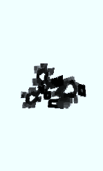 O=C1C(=Nc2cc(Cl)cc(Cl)c2)c2ccccc2N1c1ccccc1